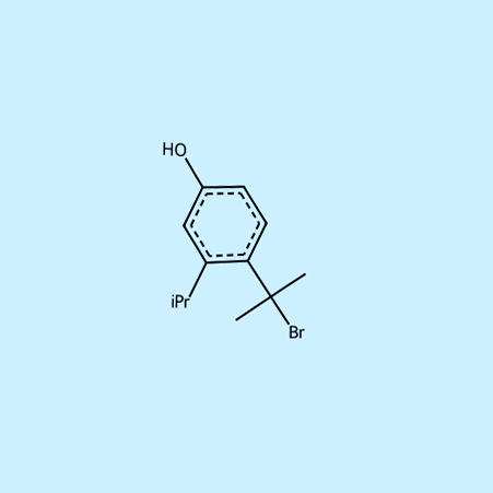 CC(C)c1cc(O)ccc1C(C)(C)Br